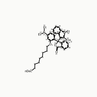 CCCCCCCCCCCCCCCCCCOc1cc(N(CC)CC)ccc1C1(c2c(C)n(CC)c3ccccc23)OC(=O)c2cccnc21